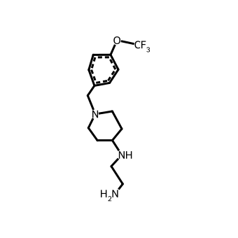 NCCNC1CCN(Cc2ccc(OC(F)(F)F)cc2)CC1